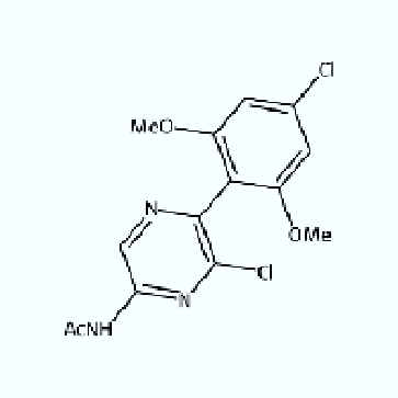 COc1cc(Cl)cc(OC)c1-c1ncc(NC(C)=O)nc1Cl